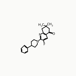 CC1(C)CC(=O)c2cc(F)c(N3CCC(c4ccccc4)CC3)nc2C1